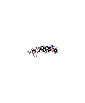 CC(CCC1(C)C(C)CCC2(C)C3CCC4(Cc5nnc(-c6ccccc6F)o5)CC(=O)C(C(C)C)=C4C3CCC12)OC(=O)CC(C)(C)C=O